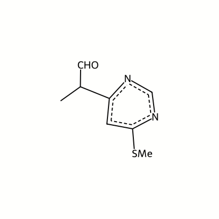 CSc1cc(C(C)C=O)ncn1